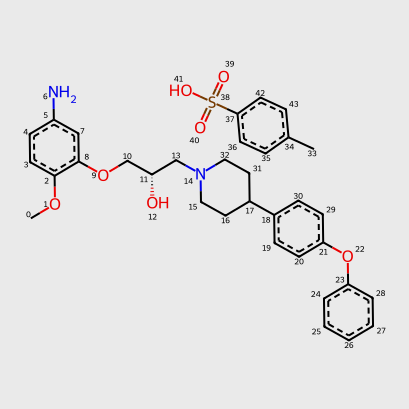 COc1ccc(N)cc1OC[C@@H](O)CN1CCC(c2ccc(Oc3ccccc3)cc2)CC1.Cc1ccc(S(=O)(=O)O)cc1